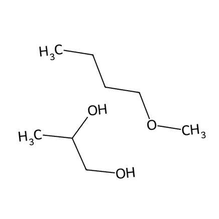 CC(O)CO.CCCCOC